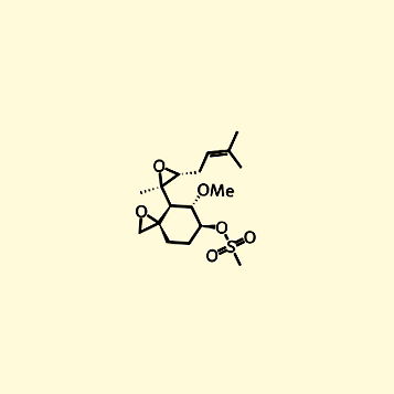 CO[C@@H]1[C@@H](OS(C)(=O)=O)CC[C@]2(CO2)[C@H]1[C@@]1(C)O[C@@H]1CC=C(C)C